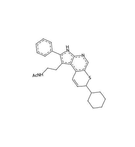 CC(=O)NCCc1c(-c2ccccc2)[nH]c2ncc3c(c12)C=CC(C1CCCCC1)S3